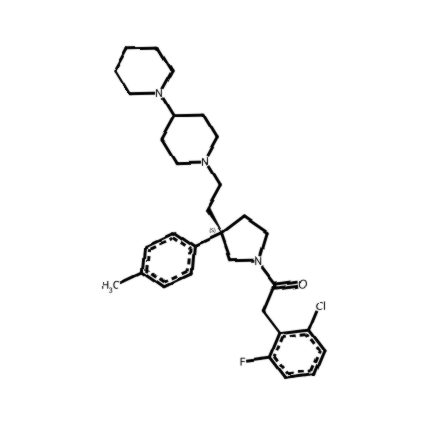 Cc1ccc([C@]2(CCN3CCC(N4CCCCC4)CC3)CCN(C(=O)Cc3c(F)cccc3Cl)C2)cc1